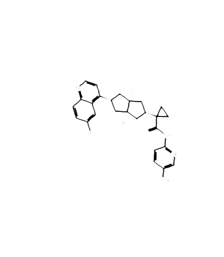 N#Cc1ccc(NC(=O)C2([C@H]3C[C@H]4C[C@@H](c5ccnc6ccc(F)cc56)C[C@H]4C3)CC2)nc1